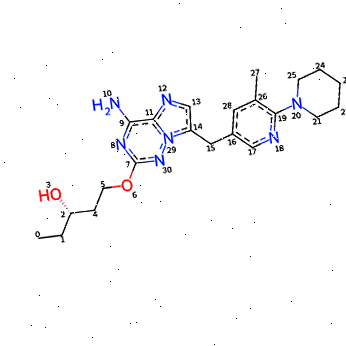 CC[C@H](O)CCOc1nc(N)c2ncc(Cc3cnc(N4CCCCC4)c(C)c3)n2n1